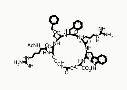 CC(=O)N[C@@H](CCCNC(=N)N)C(=O)NC1CCCNC(=O)CCC(C(=O)O)NC(=O)[C@H](Cc2c[nH]c3ccccc23)NC(=O)[C@H](CCCNC(=N)N)NC(=O)C(Cc2ccccc2)NC(=O)[C@H](COCc2ccccc2)NC1=O